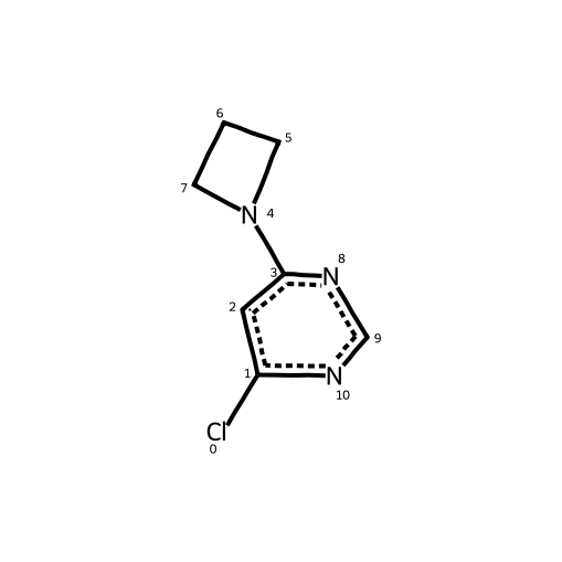 Clc1[c]c(N2CCC2)ncn1